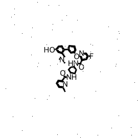 Cc1cccc(C(=O)N[C@H]2CC[C@H](NC(=O)c3cc(F)cnc3Oc3cccc(-c4ccc(O)cc4CN(C)C)c3)CC2)n1